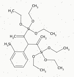 C=C(C(C(=C)[Si](OCC)(OCC)OCC)c1ccccc1[SiH3])[Si](OCC)(OCC)OCC